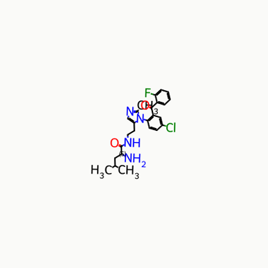 Cc1ncc(CCNC(=O)[C@@H](N)CC(C)C)n1-c1ccc(Cl)cc1C(=O)c1ccccc1F